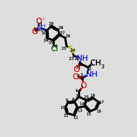 CC(NC(=O)OCC1c2ccccc2-c2ccccc21)C(=O)NCSCCc1ccc([N+](=O)[O-])cc1Cl